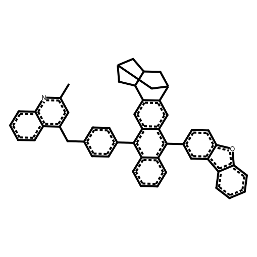 Cc1cc(Cc2ccc(-c3c4ccccc4c(-c4ccc5oc6ccccc6c5c4)c4cc5c(cc34)C3CC4CC5CC3C4)cc2)c2ccccc2n1